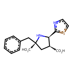 O=C(O)[C@H]1C[C@@](Cc2ccccc2)(C(=O)O)N[C@H]1c1nccs1